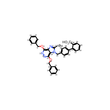 CCCCc1nc2c(OCc3ccccc3)nnc(OCc3ccccc3)c2n1Cc1ccc(-c2ccccc2C(=O)O)cc1